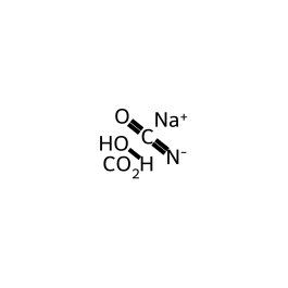 O=C(O)O.[N-]=C=O.[Na+]